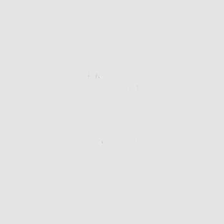 CC(=O)N/C(=C/c1ccc(Cl)c(C(F)(F)F)c1)C(=O)O